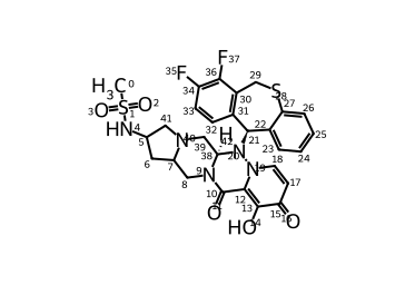 CS(=O)(=O)NC1CC2CN3C(=O)c4c(O)c(=O)ccn4N([C@@H]4c5ccccc5SCc5c4ccc(F)c5F)[C@@H]3CN2C1